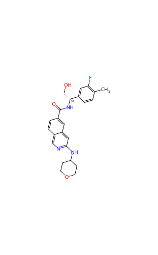 Cc1ccc([C@@H](CO)NC(=O)c2ccc3cnc(NC4CCOCC4)cc3c2)cc1F